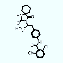 O=C(Nc1ccc(CC(C(=O)O)N2C(=O)NC3(CCCCC3)C2=O)cc1)c1c(Cl)cccc1Cl